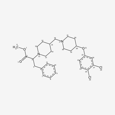 COC(=O)C(Cc1ccccc1)N1CCC(CN2CCC(Oc3ccc(Cl)c(Cl)c3)CC2)CC1